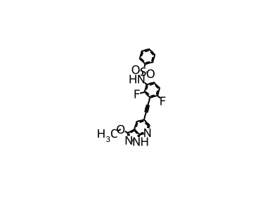 COc1n[nH]c2ncc(C#Cc3c(F)ccc(NS(=O)(=O)c4ccccc4)c3F)cc12